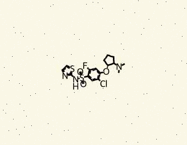 CN(C)C1CCC[C@@H]1Oc1cc(F)c(S(=O)(=O)Nc2nccs2)cc1Cl